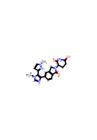 Cn1ccc(-c2c(-c3ccc4c(c3)CN(C3CCC(=O)NC3=O)C4=O)ncn2C)n1